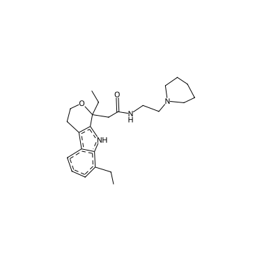 CCc1cccc2c3c([nH]c12)C(CC)(CC(=O)NCCN1CCCCC1)OCC3